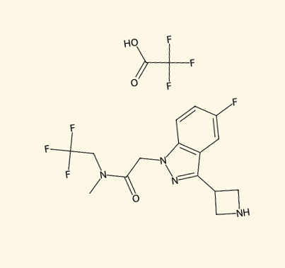 CN(CC(F)(F)F)C(=O)Cn1nc(C2CNC2)c2cc(F)ccc21.O=C(O)C(F)(F)F